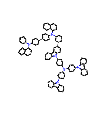 c1ccc(N(c2ccc(-c3ccc(N(c4cccc(-c5ccc6c(c5)c5ccccc5n6-c5ccc(N(c6ccc(-n7c8ccccc8c8ccccc87)cc6)c6ccc(-n7c8ccccc8c8ccccc87)cc6)cc5)c4)c4cccc5ccccc45)cc3)cc2)c2cccc3ccccc23)cc1